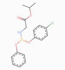 CC(C)OC(=O)CNP(Oc1ccccc1)Oc1ccc(Cl)cc1